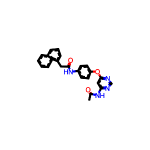 CC(=O)Nc1cc(Oc2ccc(NC(=O)Cc3cccc4ccccc34)cc2)ncn1